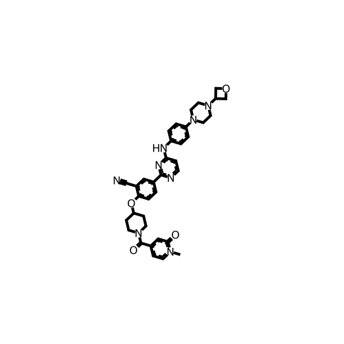 Cn1ccc(C(=O)N2CCC(Oc3ccc(-c4nccc(Nc5ccc(N6CCN(C7COC7)CC6)cc5)n4)cc3C#N)CC2)cc1=O